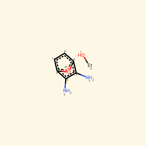 CCO.Nc1c(N)c2ccc1o2